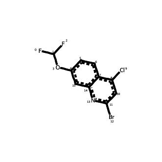 FC(F)Oc1ccc2c(Cl)cc(Br)nc2c1